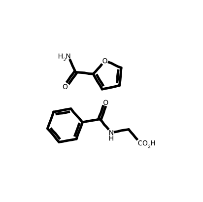 NC(=O)c1ccco1.O=C(O)CNC(=O)c1ccccc1